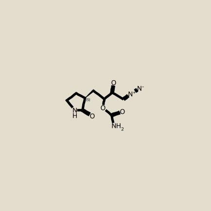 [N-]=[N+]=CC(=O)C(C[C@@H]1CCNC1=O)OC(N)=O